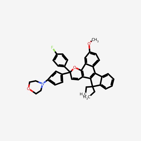 CCC1(CC)c2ccccc2-c2c1c1c(c3cc(OC)ccc23)OC(c2ccc(F)cc2)(c2ccc(N3CCOCC3)cc2)C=C1